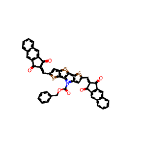 O=C1C(=Cc2cc3c(s2)c2sc4cc(C=C5C(=O)c6cc7ccccc7cc6C5=O)sc4c2n3C(=O)OCc2ccccc2)C(=O)c2cc3ccccc3cc21